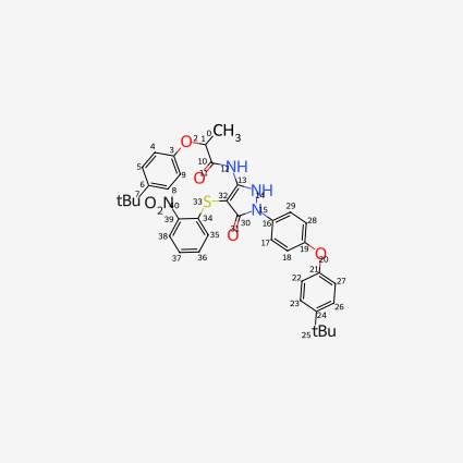 CC(Oc1ccc(C(C)(C)C)cc1)C(=O)Nc1[nH]n(-c2ccc(Oc3ccc(C(C)(C)C)cc3)cc2)c(=O)c1Sc1ccccc1[N+](=O)[O-]